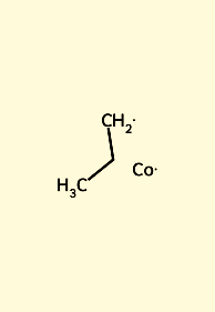 [CH2]CC.[Co]